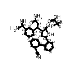 N#Cc1ccccc1-c1ccccc1C1CC(C(CC(N)=O)c2cccc(C(=N)N)c2)C(=O)N1.O=C(O)C(F)(F)F